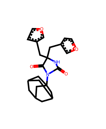 O=C1NC(Cc2ccoc2)(Cc2ccoc2)C(=O)N1C12CC3CC(CC(C3)C1)C2